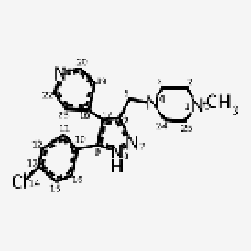 CN1CCN(Cc2n[nH]c(-c3ccc(Cl)cc3)c2-c2ccncc2)CC1